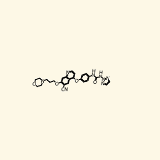 N#Cc1cc2c(Oc3ccc(NC(=O)Nn4nccn4)cc3)ccnc2cc1OCCCN1CCOCC1